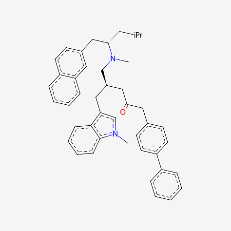 CC(C)C[C@@H](Cc1ccc2ccccc2c1)N(C)C[C@@H](CC(=O)Cc1ccc(-c2ccccc2)cc1)Cc1cn(C)c2ccccc12